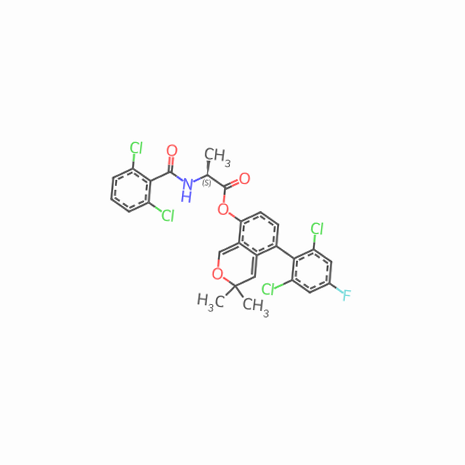 C[C@H](NC(=O)c1c(Cl)cccc1Cl)C(=O)Oc1ccc(-c2c(Cl)cc(F)cc2Cl)c2c1=COC(C)(C)C=2